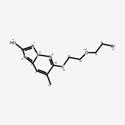 Cc1cc2nc(O)nn2nc1SCCOCCBr